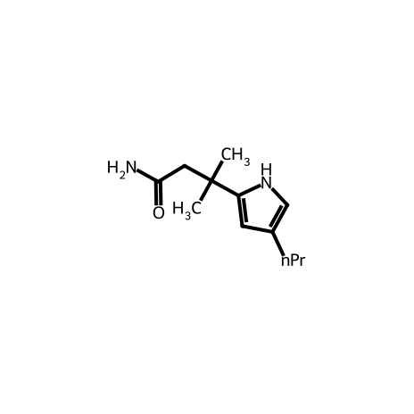 CCCc1c[nH]c(C(C)(C)CC(N)=O)c1